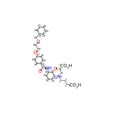 O=C(O)CCCN1CC(C(=O)O)Oc2c(NC(=O)c3ccc(OCCOCc4ccccc4)cc3)cccc21